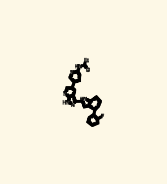 CCC(=O)Nc1ccc(-c2cnc3[nH]nc(-c4cc5c(-c6ccccc6F)cccc5[nH]4)c3c2)cn1